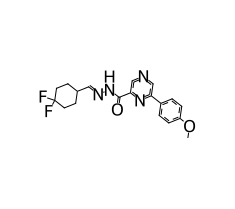 COc1ccc(-c2cncc(C(=O)N/N=C/C3CCC(F)(F)CC3)n2)cc1